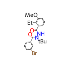 CCc1c(OC)cccc1C(=O)NN(C(=O)c1cccc(Br)c1)C(C)(C)C